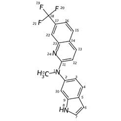 CN(c1ccc2cc[nH]c2c1)c1ccc2ccc(C(F)(F)F)cc2n1